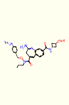 CCCN(OCc1ccc(N)cc1)C(=O)C1=Cc2ccc(C(=O)N[C@H]3C[C@H](O)C3)cc2N=C(N)C1